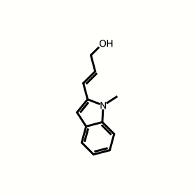 Cn1c(C=CCO)cc2ccccc21